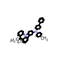 Cc1ccc(N(c2ccc(-c3ccccc3)cc2)c2ccc3c(c2)c2cccc4c2n3-c2ccccc2C4(C)C)cc1